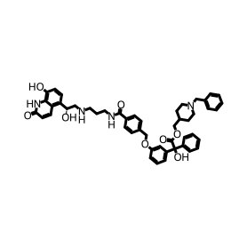 O=C(NCCCNC[C@H](O)c1ccc(O)c2[nH]c(=O)ccc12)c1ccc(COc2cccc(C(O)(C(=O)OCC3CCN(Cc4ccccc4)CC3)c3ccccc3)c2)cc1